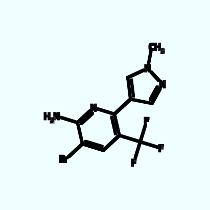 Cn1cc(-c2nc(N)c(Br)cc2C(F)(F)F)cn1